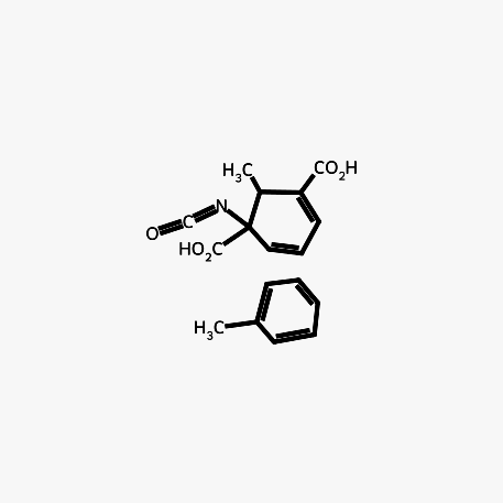 CC1C(C(=O)O)=CC=CC1(N=C=O)C(=O)O.Cc1ccccc1